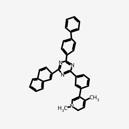 CC1=CCN(C)C=C1c1cccc(-c2nc(-c3ccc(-c4ccccc4)cc3)nc(-c3ccc4ccccc4c3)n2)c1